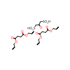 C=CCOC(=O)CCC(=O)OCC=C.C=CCOC(=O)CCC(=O)OCC=C.O=C(CS(=O)(=O)O)CS(=O)(=O)O